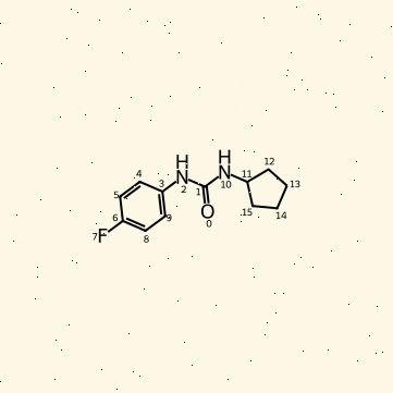 O=C(Nc1ccc(F)cc1)NC1CCCC1